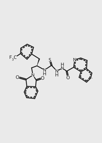 O=C(NNC(=S)N[C@H](Cc1cccc(C(F)(F)F)c1)CN1C(=O)c2ccccc2C1=O)c1nccc2c[c]ccc12